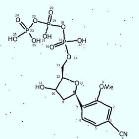 COc1cc(C#N)ccc1[C@H]1CC(O)[C@@H](COP(=O)(O)OP(=O)(O)OP(=O)(O)O)O1